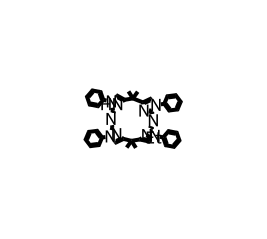 CCN1C2=CN(c3ccccc3)/C1=N/c1nc(cn1-c1ccccc1)C(C)(C)C1=CN(c3ccccc3)/C(=N/c3nc(cn3-c3ccccc3)C2(C)C)N1